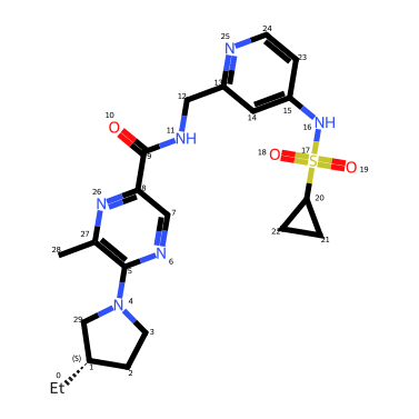 CC[C@H]1CCN(c2ncc(C(=O)NCc3cc(NS(=O)(=O)C4CC4)ccn3)nc2C)C1